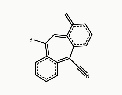 C=c1cccc2c1=CC(Br)=c1ccccc1=C2C#N